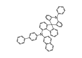 c1ccc(-c2ccc(N(c3ccc4ccccc4c3)c3cccc4c3-c3ccccc3C43c4ccccc4N(c4ccccc4)c4ccccc43)cc2)cc1